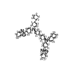 c1ccc(-c2ccc(N(c3ccc(-c4ccc(N(c5ccc(-c6nc7ccccc7o6)cc5)c5ccc6ccccc6c5)cc4)cc3)c3ccc(-c4nc5ccccc5o4)cc3)cc2)cc1